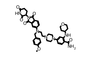 COc1ccc(CN(CCN2CCN(c3ccc(C(N)=O)c(NC4CCOCC4)c3)CC2)c2ccc3c(c2)C(=O)N(C2CCC(=O)NC2=O)C3=O)cc1